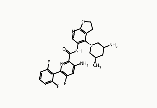 C[C@@H]1CC(N)CN(c2c(NC(=O)c3nc(-c4c(F)cccc4F)c(F)cc3N)cnc3c2CCO3)C1